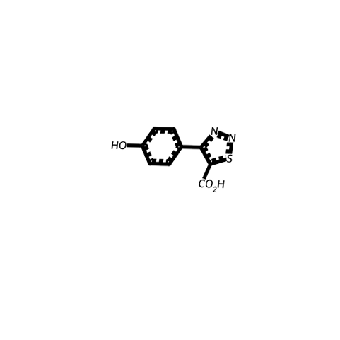 O=C(O)c1snnc1-c1ccc(O)cc1